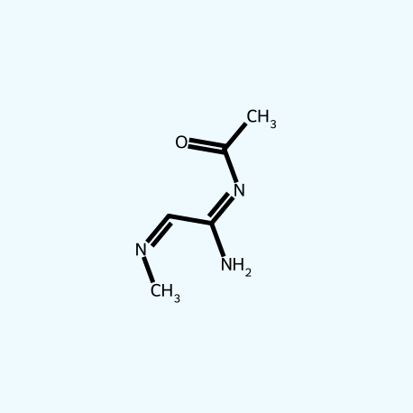 C/N=C\C(N)=N/C(C)=O